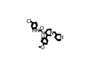 COc1ccc(C2CN(Cc3cccnc3)CC[C@H]2NC(=O)Nc2ccc(Cl)cc2)cc1